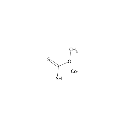 COC(=S)S.[Co]